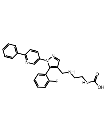 O=C(O)NCCNCc1cnn(-c2ccc(-c3ccccc3)nc2)c1-c1ccccc1F